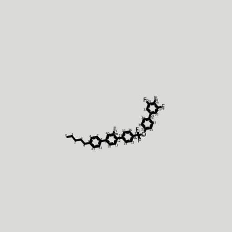 CCCCCc1ccc(-c2ccc(-c3ccc(C(F)(F)Oc4ccc(-c5cc(F)c(F)c(F)c5)cc4)cc3)c(F)c2)cc1